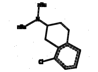 CCCCN(CCCC)C1CCc2cccc(Cl)c2C1